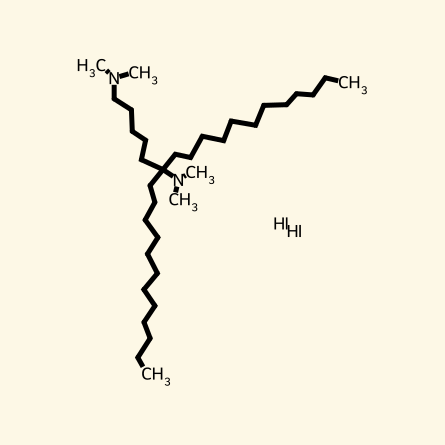 CCCCCCCCCCCCC(CCCCCCCCCCCC)(CCCCCN(C)C)N(C)C.I.I